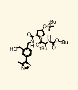 Cc1ncsc1-c1ccc(CNC(=O)[C@@H]2C[C@@H](O[Si](C)(C)C(C)(C)C)CN2C(=O)[C@@H](NC(=O)OC(C)(C)C)C(C)(C)C)c(CO)c1